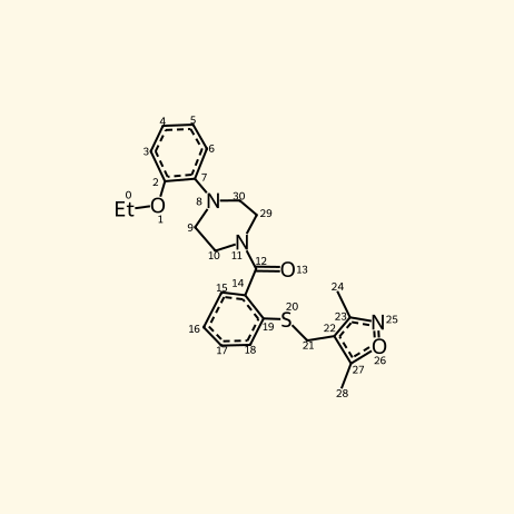 CCOc1ccccc1N1CCN(C(=O)c2ccccc2SCc2c(C)noc2C)CC1